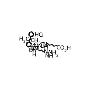 CC(C)(c1ccccc1)c1cccc(S(=O)(=O)N[C@@H](CCCNC(=N)N)C(=O)N2CCN(CCCCCC(=O)O)CC2)c1.Cl